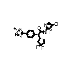 Cn1nnc(-c2ccc([C@@H](C(=O)Nc3ncc(Cl)s3)[C@@H]3CCC(F)(F)C3)cc2)n1